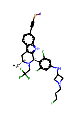 C[C@@H]1Cc2c([nH]c3cc(C#CSI)ccc23)[C@@H](c2c(F)cc(NC3CN(CCCF)C3)cc2F)N1CC(F)(F)F